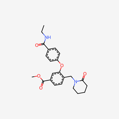 CCNC(=O)c1ccc(Oc2cc(C(=O)OC)ccc2CN2CCCCC2=O)cc1